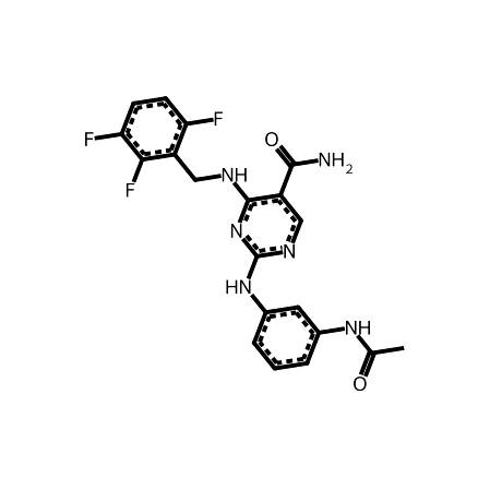 CC(=O)Nc1cccc(Nc2ncc(C(N)=O)c(NCc3c(F)ccc(F)c3F)n2)c1